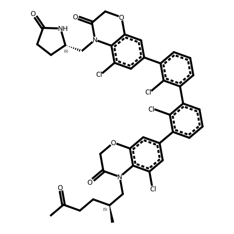 CC(=O)CC[C@H](C)CN1C(=O)COc2cc(-c3cccc(-c4cccc(-c5cc(Cl)c6c(c5)OCC(=O)N6C[C@@H]5CCC(=O)N5)c4Cl)c3Cl)cc(Cl)c21